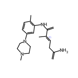 C=C(N)C/C=C(\C)C(=C)Nc1cc(N2CCN(C)CC2)ccc1C